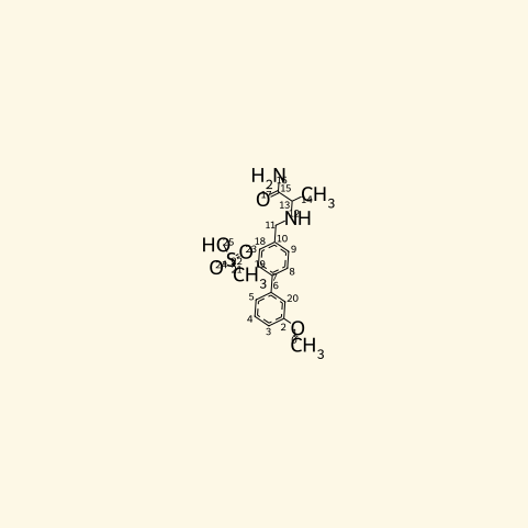 COc1cccc(-c2ccc(CNC(C)C(N)=O)cc2)c1.CS(=O)(=O)O